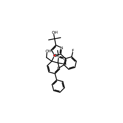 CC(C)(O)c1cn(C2(CO)C=CC(c3ccccc3)=CC2(Cl)S(C)(=O)=O)c(-c2c(F)cccc2F)n1